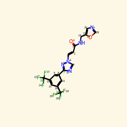 O=C(C=Cn1cnc(-c2cc(C(F)(F)F)cc(C(F)(F)F)c2)n1)NCc1cnco1